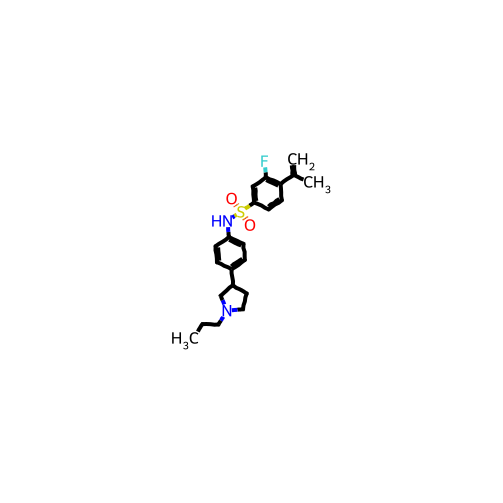 C=C(C)c1ccc(S(=O)(=O)Nc2ccc(C3CCN(CCC)C3)cc2)cc1F